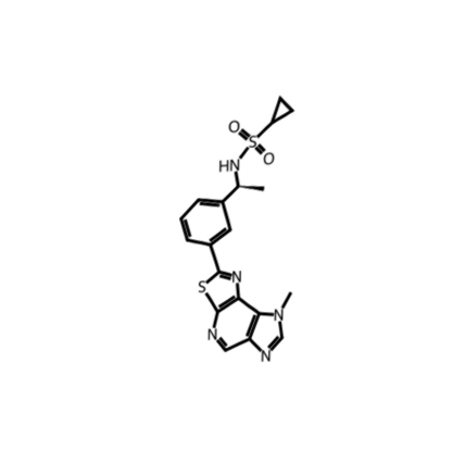 C[C@H](NS(=O)(=O)C1CC1)c1cccc(-c2nc3c(ncc4ncn(C)c43)s2)c1